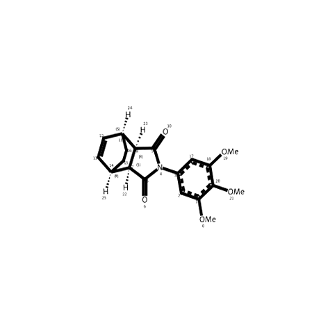 COc1cc(N2C(=O)[C@@H]3[C@H](C2=O)[C@@H]2C=C[C@H]3CC2)cc(OC)c1OC